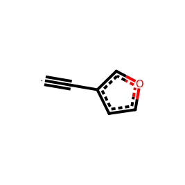 [C]#Cc1ccoc1